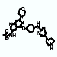 CS(=O)(=O)Nc1cnc2cc(N3CCOCC3)nc(OC3CCC(Nc4ncc(N5CCNCC5)cn4)CC3)c2c1